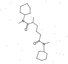 CC(CCCC(=O)N(C)C1CCCCC1)C(=O)N(C)C1CCCCC1